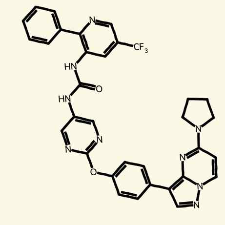 O=C(Nc1cnc(Oc2ccc(-c3cnn4ccc(N5CCCC5)nc34)cc2)nc1)Nc1cc(C(F)(F)F)cnc1-c1ccccc1